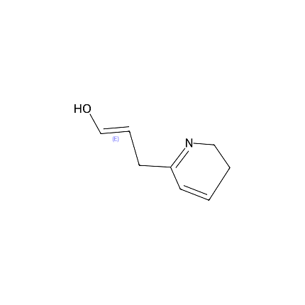 O/C=C/CC1=NCCC=C1